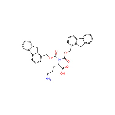 NCCC[C@@H](C(=O)O)N(C(=O)OCc1cccc2c1Cc1ccccc1-2)C(=O)OCc1cccc2c1Cc1ccccc1-2